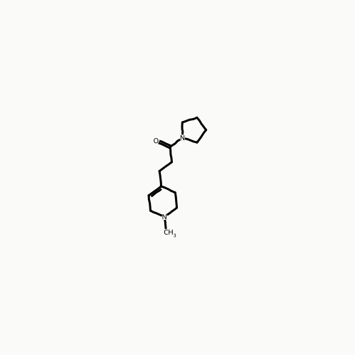 CN1CC=C(CCC(=O)N2CCCC2)CC1